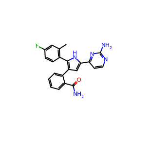 Cc1cc(F)ccc1-c1[nH]c(-c2ccnc(N)n2)cc1-c1ccccc1C(N)=O